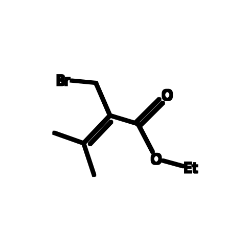 CCOC(=O)C(CBr)=C(C)C